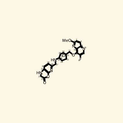 COc1ccc2ncc(F)c(OCC34CCC(NCc5ccc6c(n5)OC(=O)CN6)(CC3)CO4)c2n1